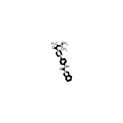 CC(C(=O)N1CCN(c2ccc(NC(=O)N3Cc4ccccc4C3)cc2)CC1)N(C)C